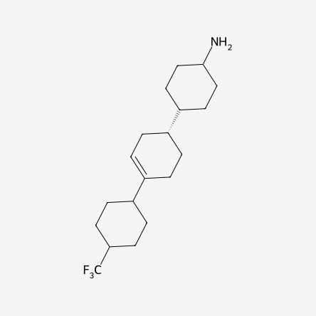 NC1CCC([C@H]2CC=C(C3CCC(C(F)(F)F)CC3)CC2)CC1